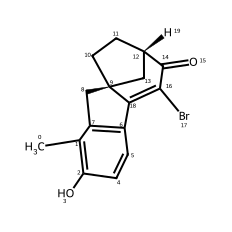 Cc1c(O)ccc2c1C[C@@]13CC[C@@H](C1)C(=O)C(Br)=C23